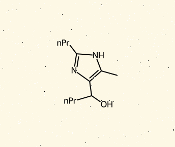 CCCc1nc(C(O)CCC)c(C)[nH]1